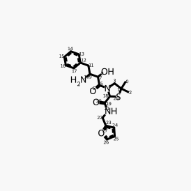 CC1(C)CN(C(=O)C(O)C(N)Cc2ccccc2)C(C(=O)NCc2ccco2)S1